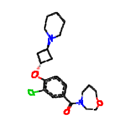 O=C(c1ccc(O[C@H]2C[C@H](N3CCCCC3)C2)c(Cl)c1)N1CCCOCC1